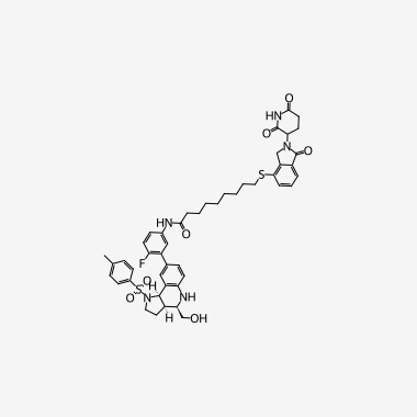 Cc1ccc(S(=O)(=O)N2CC[C@@H]3[C@H](CO)Nc4ccc(-c5cc(NC(=O)CCCCCCCCSc6cccc7c6CN(C6CCC(=O)NC6=O)C7=O)ccc5F)cc4[C@@H]32)cc1